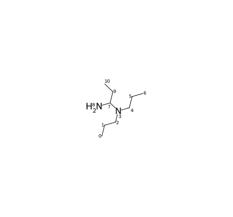 CCCN(CCC)C(N)CC